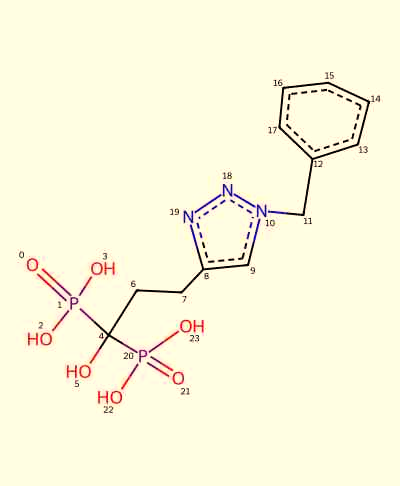 O=P(O)(O)C(O)(CCc1cn(Cc2ccccc2)nn1)P(=O)(O)O